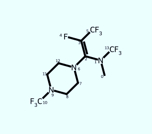 CN(/C(=C(/F)C(F)(F)F)N1CCN(C(F)(F)F)CC1)C(F)(F)F